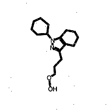 OOCCCc1nn(C2CCCCC2)c2c1CCCC2